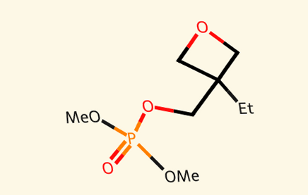 CCC1(COP(=O)(OC)OC)COC1